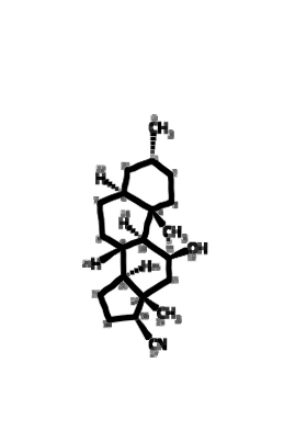 C[C@@H]1CC[C@@]2(C)[C@@H](CC[C@@H]3[C@@H]2[C@@H](O)C[C@]2(C)[C@@H](C#N)CC[C@@H]32)C1